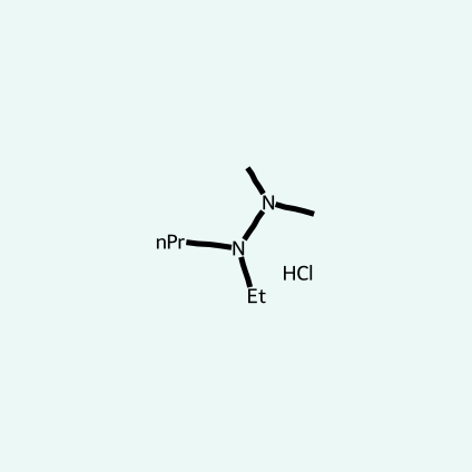 CCCN(CC)N(C)C.Cl